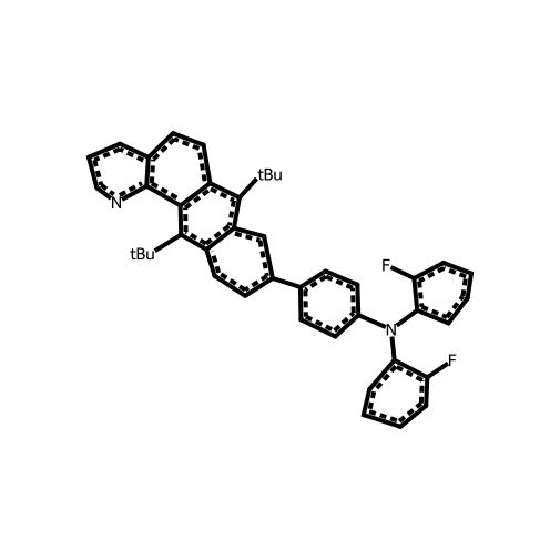 CC(C)(C)c1c2cc(-c3ccc(N(c4ccccc4F)c4ccccc4F)cc3)ccc2c(C(C)(C)C)c2c1ccc1cccnc12